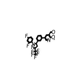 COc1ncc(-c2cccc(C3CC(C(F)(F)C(F)(F)F)=NN3c3ccc(F)cc3F)c2)cc1C=O